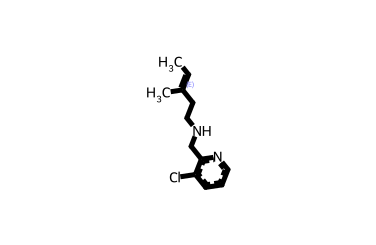 C/C=C(\C)CCNCc1ncccc1Cl